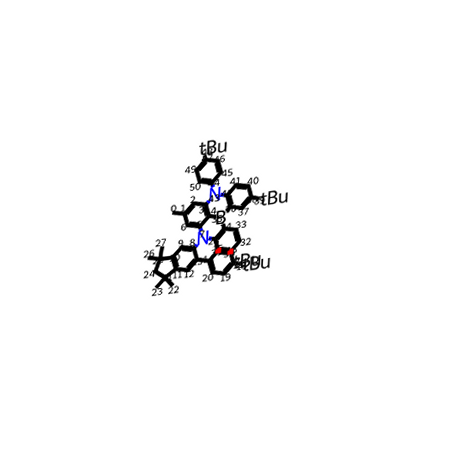 Cc1cc2c3c(c1)N(c1cc4c(cc1-c1ccc(C(C)(C)C)cc1)C(C)(C)CC4(C)C)c1cc(C(C)(C)C)ccc1B3c1cc(C(C)(C)C)ccc1N2c1ccc(C(C)(C)C)cc1